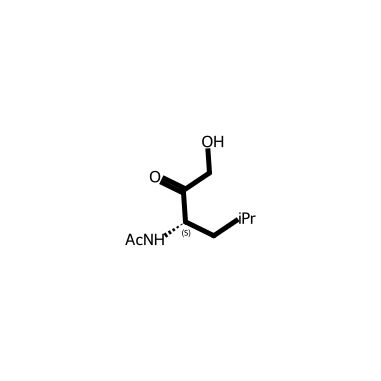 CC(=O)N[C@@H](CC(C)C)C(=O)CO